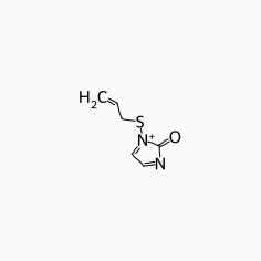 C=CCS[N+]1=CC=NC1=O